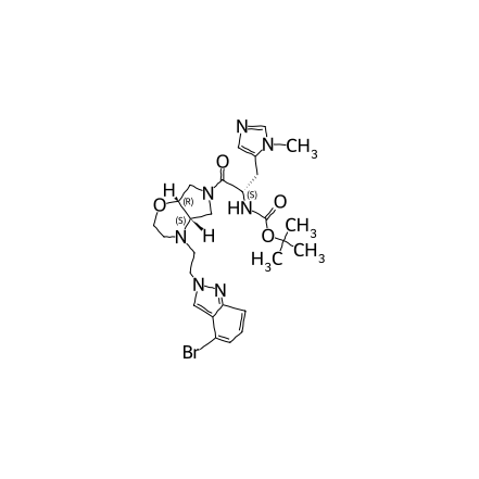 Cn1cncc1C[C@H](NC(=O)OC(C)(C)C)C(=O)N1C[C@H]2OCCN(CCn3cc4c(Br)cccc4n3)[C@H]2C1